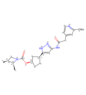 COc1cc(CC(=O)Nc2cc([C@H]3CC[C@@H](OC(=O)N4C[C@H](C)[C@@H]4C)C3)[nH]n2)ccn1